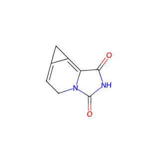 O=C1NC(=O)N2CC=C3CC3=C12